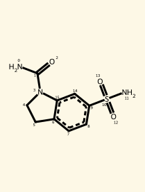 NC(=O)N1CCc2ccc(S(N)(=O)=O)cc21